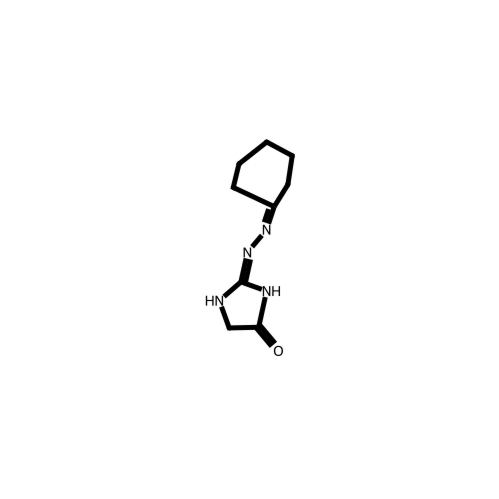 O=C1CN/C(=N/N=C2CCCCC2)N1